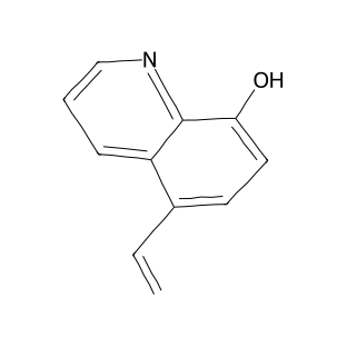 C=Cc1ccc(O)c2ncccc12